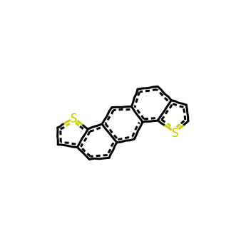 c1cc2ccc3cc4c(ccc5ccsc54)cc3c2s1